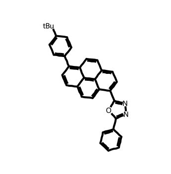 CC(C)(C)c1ccc(-c2ccc3ccc4c(-c5nnc(-c6ccccc6)o5)ccc5ccc2c3c54)cc1